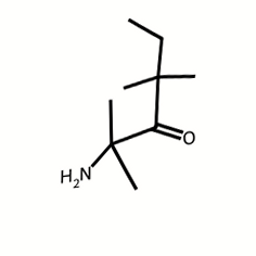 CCC(C)(C)C(=O)C(C)(C)N